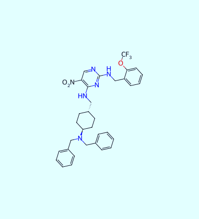 O=[N+]([O-])c1cnc(NCc2ccccc2OC(F)(F)F)nc1NC[C@H]1CC[C@H](N(Cc2ccccc2)Cc2ccccc2)CC1